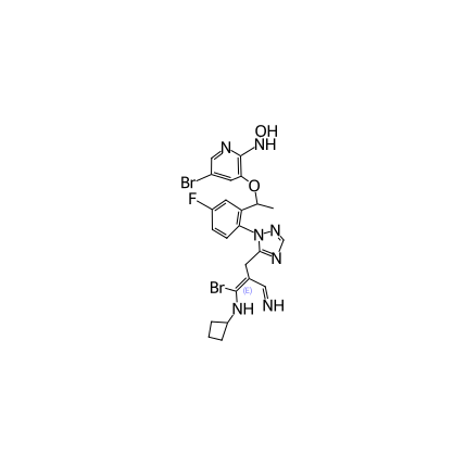 CC(Oc1cc(Br)cnc1NO)c1cc(F)ccc1-n1ncnc1C/C(C=N)=C(\Br)NC1CCC1